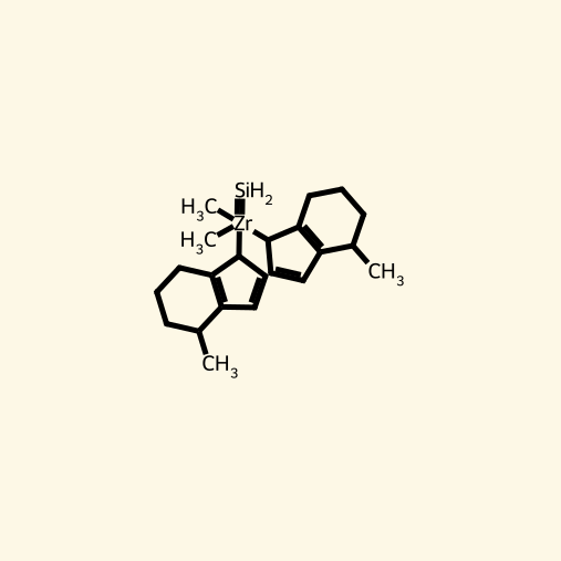 CC1CCCC2=C1C=C[CH]2[Zr]([CH3])([CH3])(=[SiH2])[CH]1C=CC2=C1CCCC2C